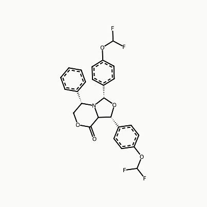 O=C1OC[C@H](c2ccccc2)N2C1[C@@H](c1ccc(OC(F)F)cc1)O[C@H]2c1ccc(OC(F)F)cc1